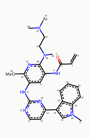 C=CC(=O)Nc1cc(Nc2nccc(-c3cn(C)c4ccccc34)n2)c(OC)nc1N(C)CCN(C)C(C)=O